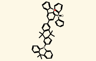 CC1(C)c2ccccc2N(c2ccc3c(c2)C(C)(C)c2ccc(-c4cc(P(=O)(c5ccccc5)c5ccccc5)c5oc6ccccc6c5c4)cc2C3(C)C)c2ccccc21